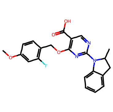 COc1ccc(COc2nc(N3c4ccccc4CC3C)ncc2C(=O)O)c(F)c1